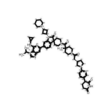 CC(C)n1cnc2cc(-c3ccc4c(c3)N([C@H]3C[C@@H](N5CCCCC5)C3)C(=O)C43CCN(C(=O)C4(C)CCN(C(=O)C[C@H]5CCN(c6ccc(C7CCC(=O)NC7=O)cn6)C5)CC4)CC3)nc(NC3CC3)c21